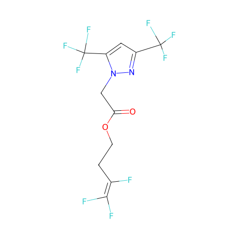 O=C(Cn1nc(C(F)(F)F)cc1C(F)(F)F)OCCC(F)=C(F)F